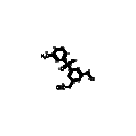 CCOc1cc(CC=O)cc(S(=O)(=O)c2cccc(C)c2)c1